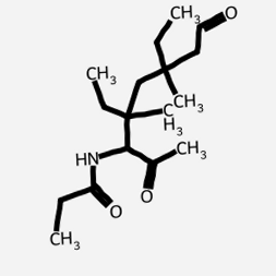 CCC(=O)NC(C(C)=O)C(C)(CC)CC(C)(CC)CC=O